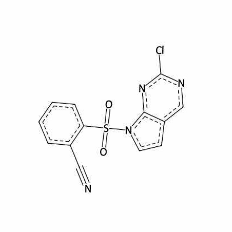 N#Cc1ccccc1S(=O)(=O)n1ccc2cnc(Cl)nc21